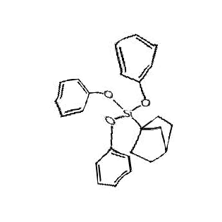 c1ccc(O[Si](Oc2ccccc2)(Oc2ccccc2)C23CCC(CC2)C3)cc1